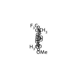 COc1ccc(C(=O)N(C)c2cc3oc(=O)c(C(=O)OC(=O)c4cc5sc(N(C)C(=O)c6cccc(C(F)(F)F)c6)cc5oc4=O)cc3s2)cc1